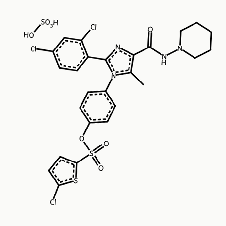 Cc1c(C(=O)NN2CCCCC2)nc(-c2ccc(Cl)cc2Cl)n1-c1ccc(OS(=O)(=O)c2ccc(Cl)s2)cc1.O=S(=O)(O)O